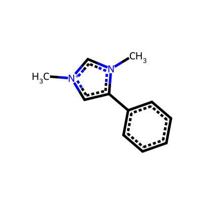 Cn1c[n+](C)cc1-c1ccccc1